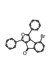 O=C1c2cccc(Br)c2-c2c(-c3ccccc3)oc(-c3ccccc3)c21